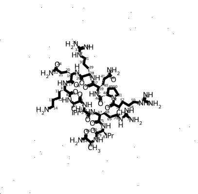 CC(C)[C@H](NC(=O)[C@H](C)NC(=O)[C@H](CCCCN)NC(=O)[C@H](CCC(N)=O)NC(=O)[C@H](CCCNC(=N)N)NC(=O)[C@H](CCC(N)=O)NC(=O)[C@@H]1CCCN1C(=O)[C@@H](C)CCCNC(=N)N)C(=O)N[C@@H](CCCNC(=N)N)C(=O)N[C@H](C(=O)N[C@@H](C)C(N)=O)C(C)C